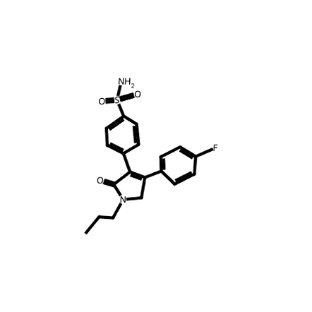 CCCN1CC(c2ccc(F)cc2)=C(c2ccc(S(N)(=O)=O)cc2)C1=O